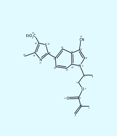 C=C(C)C(=O)OCC(C)n1cc(C#N)c2cc(-c3nc(C)c(C(=O)OCC)s3)ccc21